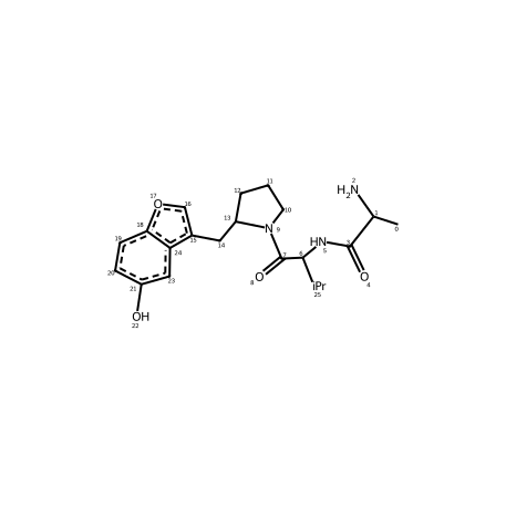 CC(N)C(=O)NC(C(=O)N1CCCC1Cc1coc2ccc(O)cc12)C(C)C